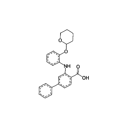 O=C(O)c1ccc(-c2ccccc2)cc1Nc1ccccc1OC1CCCCO1